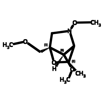 COC[C@@]12CN(OC)C([C@H](C)O1)[C@H]2OC